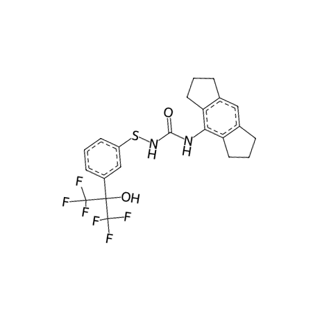 O=C(NSc1cccc(C(O)(C(F)(F)F)C(F)(F)F)c1)Nc1c2c(cc3c1CCC3)CCC2